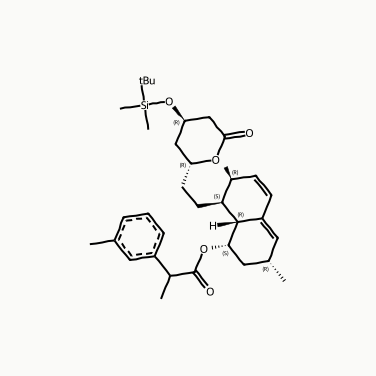 Cc1cccc(C(C)C(=O)O[C@H]2C[C@@H](C)C=C3C=C[C@H](C)[C@H](CC[C@@H]4C[C@@H](O[Si](C)(C)C(C)(C)C)CC(=O)O4)[C@H]32)c1